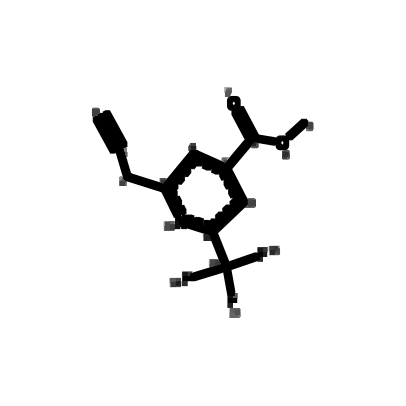 C#CCc1cc(C(=O)OC)cc(C(F)(F)F)n1